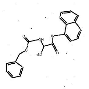 CCCCC(NC(=O)OCc1ccccc1)C(=O)Nc1ccnc2ccccc12